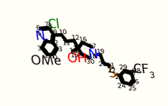 COc1ccc2ncc(Cl)c(CCCC3(CO)CCN(CCCSc4cccc(C(F)(F)F)c4)CC3)c2c1